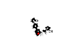 N#C[C@@H]1CCCN1C(=O)CNC12CC3CC1CC(c1ccc(N4CCCC4=O)cc1)(C3)C2